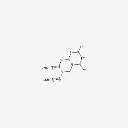 CC(CCCN=[N+]=[N-])OC(C)CCCN=[N+]=[N-]